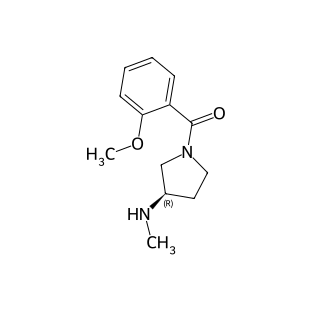 CN[C@@H]1CCN(C(=O)c2ccccc2OC)C1